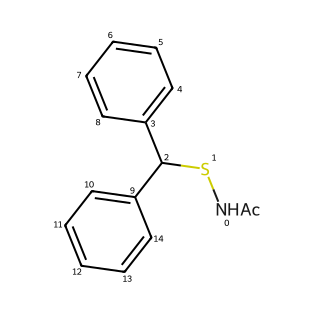 CC(=O)NSC(c1ccccc1)c1ccccc1